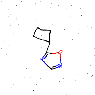 c1noc(C2CCC2)n1